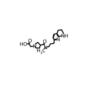 CN(CCCc1ccc2c(n1)NCCC2)C(=O)C1CCN(CC(=O)O)CC1